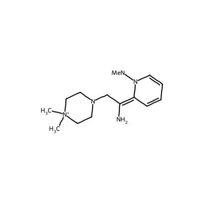 CNN1C=CC=C/C1=C(\N)CN1CC[N+](C)(C)CC1